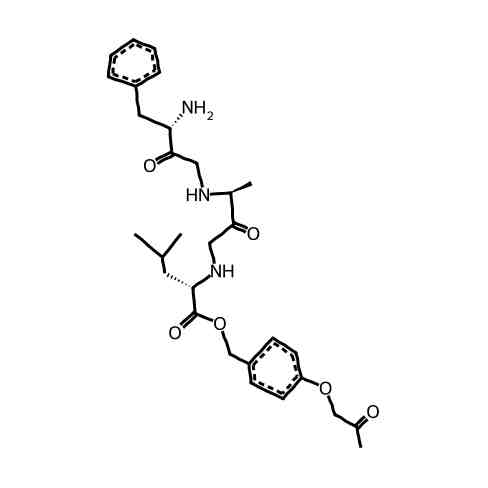 CC(=O)COc1ccc(COC(=O)[C@H](CC(C)C)NCC(=O)[C@H](C)NCC(=O)[C@@H](N)Cc2ccccc2)cc1